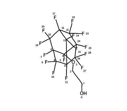 OCCOC1(F)C2(F)C(F)(F)C3(F)C(F)(F)C(F)(C2(F)F)C(F)(F)C1(F)C3(F)F